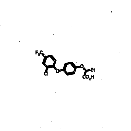 CCC(Oc1ccc(Oc2ccc(C(F)(F)F)cc2Cl)cc1)C(=O)O